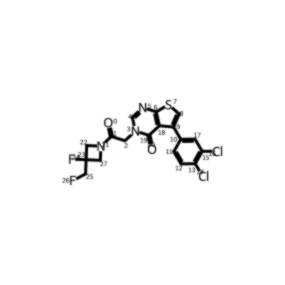 O=C(Cn1cnc2scc(-c3ccc(Cl)c(Cl)c3)c2c1=O)N1CC(F)(CF)C1